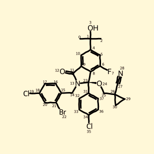 CC(C)(O)c1cc(F)c2c(c1)C(=O)N(Cc1ccc(Cl)cc1Br)[C@@]2(OCC1(C#N)CC1)c1ccc(Cl)cc1